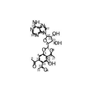 CC(=O)c1cc(OC[C@H]2O[C@@H](n3cnc4c(N)ncnc43)[C@H](O)[C@@H]2O)c(C(C)=O)c(O)c1C(C)=O